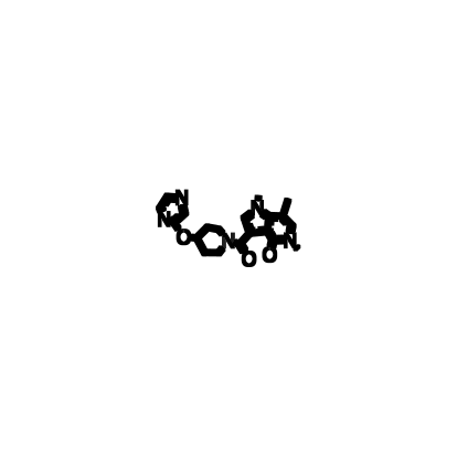 Cc1cn(C)c(=O)c2c(C(=O)N3CCC(Oc4cnccn4)CC3)cn(C)c12